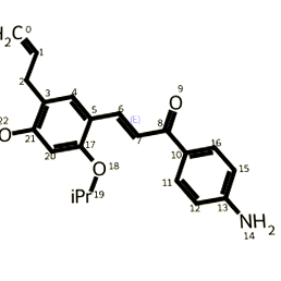 C=CCc1cc(/C=C/C(=O)c2ccc(N)cc2)c(OC(C)C)cc1O